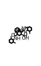 Cc1cccc(C)c1NC(=N)c1c(C(=O)O)cc(C(=O)Nc2c(C)cccc2C)c2c3ccc(c(=O)[nH]c3=O)c12